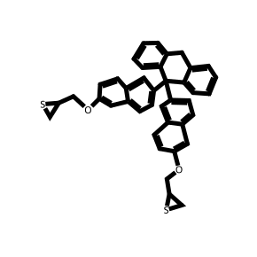 c1ccc2c(c1)Cc1ccccc1C2(c1ccc2cc(OCC3CS3)ccc2c1)c1ccc2cc(OCC3CS3)ccc2c1